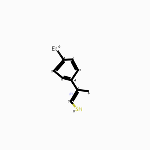 CCc1ccc(/C(C)=C/S)cc1